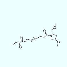 CCC(=O)NCCSSCCCC(=O)N1C[C@H](OC)C[C@H]1COC